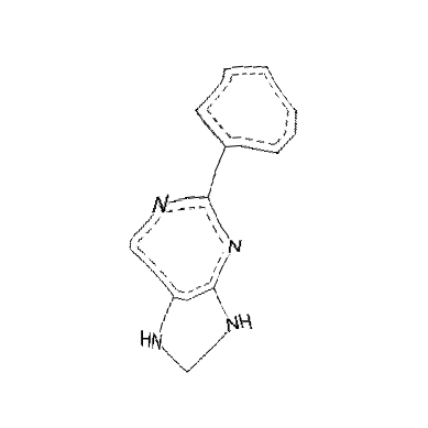 c1ccc(-c2ncc3c(n2)NCN3)cc1